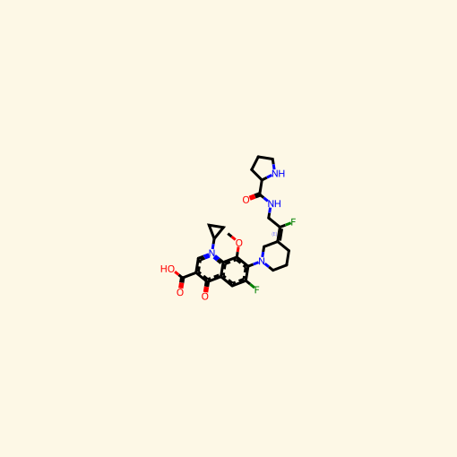 COc1c(N2CCC/C(=C(\F)CNC(=O)C3CCCN3)C2)c(F)cc2c(=O)c(C(=O)O)cn(C3CC3)c12